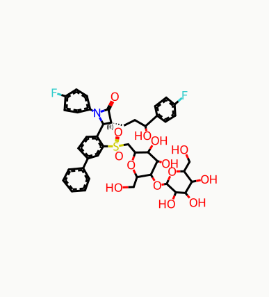 O=C1[C@H](CCC(O)c2ccc(F)cc2)C(c2ccc(-c3ccccc3)cc2S(=O)(=O)CC2OC(CO)C(OC3OC(CO)C(O)C(O)C3O)C(O)C2O)N1c1ccc(F)cc1